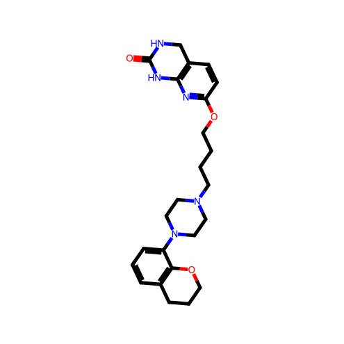 O=C1NCc2ccc(OCCCCN3CCN(c4cccc5c4OCCC5)CC3)nc2N1